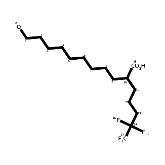 [O]CCCCCCCCCC(CCCC(F)(F)C(F)(F)F)C(=O)O